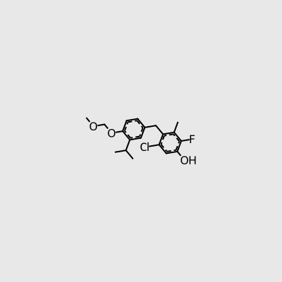 COCOc1ccc(Cc2c(Cl)cc(O)c(F)c2C)cc1C(C)C